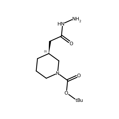 CC(C)(C)OC(=O)N1CCC[C@@H](CC(=O)NN)C1